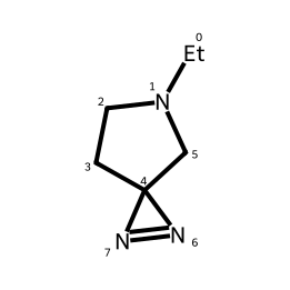 CCN1CCC2(C1)N=N2